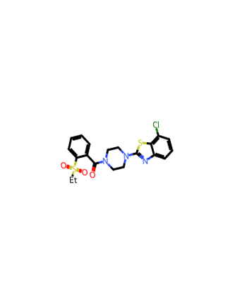 CCS(=O)(=O)c1ccccc1C(=O)N1CCN(c2nc3cccc(Cl)c3s2)CC1